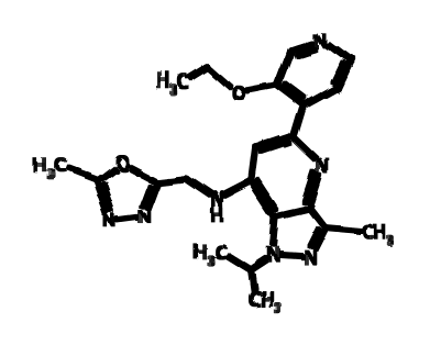 CCOc1cnccc1-c1cc(NCc2nnc(C)o2)c2c(n1)c(C)nn2C(C)C